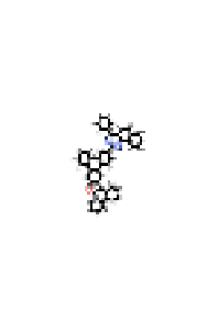 c1ccc(-c2nc(-c3ccc4c(c3)c3ccccc3c3cc5oc6c7ccccc7c7ccccc7c6c5cc43)nc3c2ccc2ccccc23)cc1